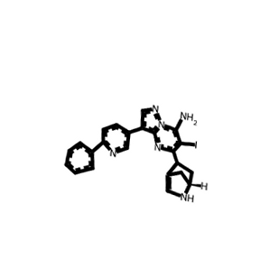 Nc1c(I)c(C2C[C@H]3CC2=CN3)nc2c(-c3ccc(-c4ccccc4)nc3)cnn12